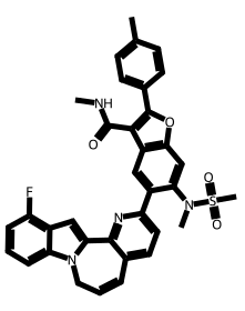 CNC(=O)c1c(-c2ccc(C)cc2)oc2cc(N(C)S(C)(=O)=O)c(-c3ccc4c(n3)-c3cc5c(F)cccc5n3CC=C4)cc12